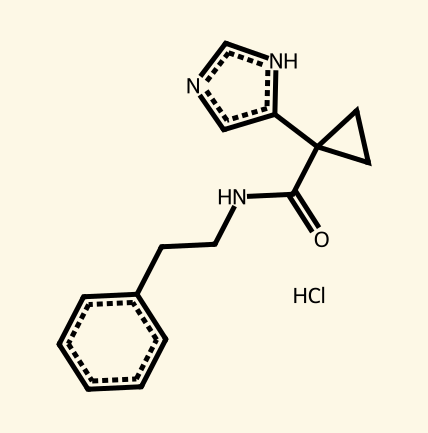 Cl.O=C(NCCc1ccccc1)C1(c2cnc[nH]2)CC1